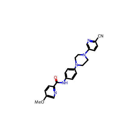 COc1ccc(C(=O)Nc2ccc(N3CCN(c4ccc(C#N)nc4)CC3)cc2)nc1